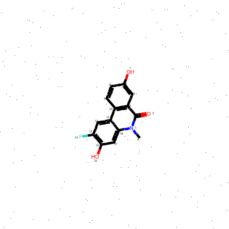 Cn1c(=O)c2cc(O)ccc2c2cc(F)c(O)cc21